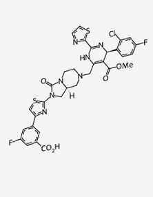 COC(=O)C1=C(CN2CCN3C(=O)N(c4nc(-c5cc(F)cc(C(=O)O)c5)cs4)C[C@@H]3C2)NC(c2nccs2)=N[C@H]1c1ccc(F)cc1Cl